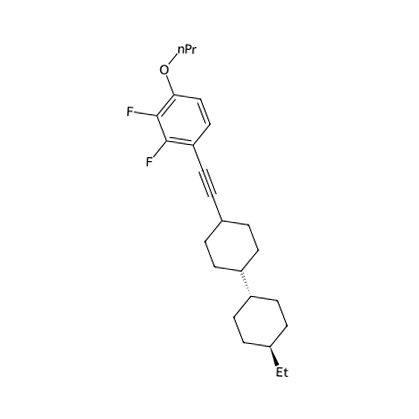 CCCOc1ccc(C#CC2CCC([C@H]3CC[C@H](CC)CC3)CC2)c(F)c1F